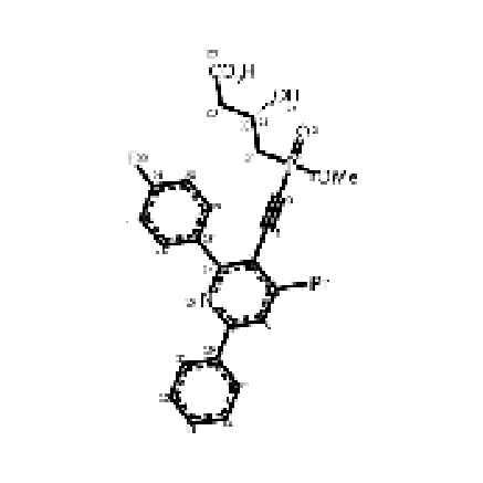 COP(=O)(C#Cc1c(C(C)C)cc(-c2ccccc2)nc1-c1ccc(F)cc1)C[C@@H](O)CC(=O)O